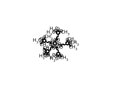 COc1cc(C=CC(=O)OC[C@H]2OC(OC(=O)C=Cc3cc(OC)c(OC)c(OC)c3)[C@H](OC(=O)C=Cc3cc(OC)c(OC)c(OC)c3)[C@@H](OC(=O)C=Cc3cc(OC)c(OC)c(OC)c3)[C@@H]2OC(=O)C=Cc2cc(OC)c(OC)c(OC)c2)cc(OC)c1OC